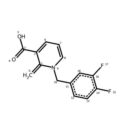 C=C1C(C(=O)O)=CC=CN1Cc1ccc(F)c(F)c1